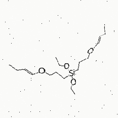 CCC=COCCC[Si](CCCOC=CCC)(OCC)OCC